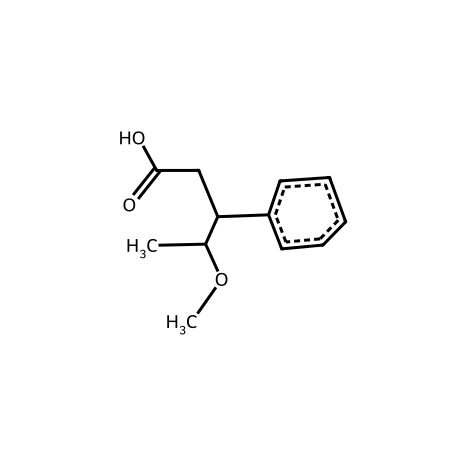 COC(C)C(CC(=O)O)c1ccccc1